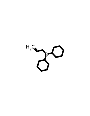 C=CCB(C1CCCCC1)C1CCCCC1